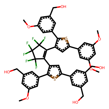 COc1cc(OC)cc(-c2cc(C3=C(c4cc(-c5cc(CO)cc(CO)c5)sc4-c4cc(CO)cc(OC)c4)C(F)(F)C(F)(F)C3(F)F)c(-c3cc(CO)cc(OC)c3)s2)c1